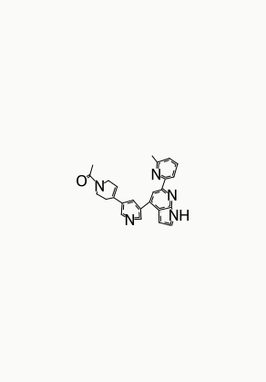 CC(=O)N1CC=C(c2cncc(-c3cc(-c4cccc(C)n4)nc4[nH]ccc34)c2)CC1